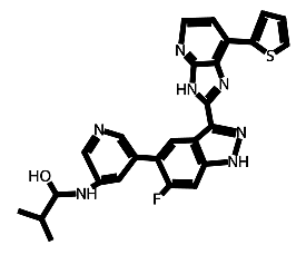 CC(C)C(O)Nc1cncc(-c2cc3c(-c4nc5c(-c6cccs6)ccnc5[nH]4)n[nH]c3cc2F)c1